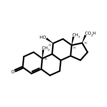 C[C@]12CCC(=O)C=C1CCC1C2[C@@H](O)C[C@@]2(C)C1CC[C@@H]2C(=O)O